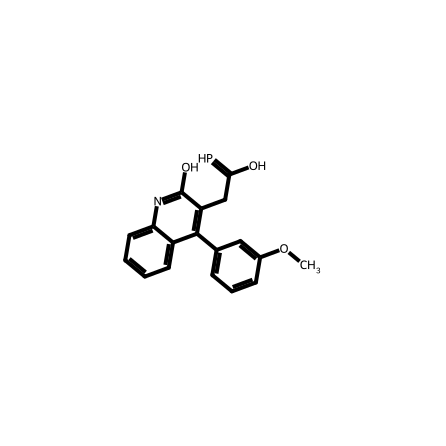 COc1cccc(-c2c(CC(O)=P)c(O)nc3ccccc23)c1